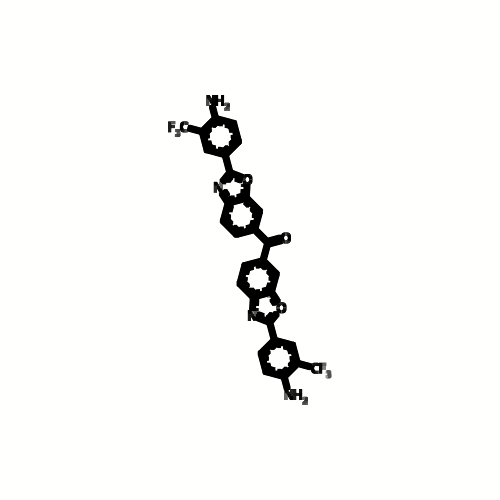 Nc1ccc(-c2nc3ccc(C(=O)c4ccc5nc(-c6ccc(N)c(C(F)(F)F)c6)oc5c4)cc3o2)cc1C(F)(F)F